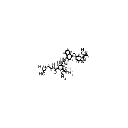 CN(CCO)CCNC(=O)c1nc(NC(=O)N[C@H]2CC[C@@H](Oc3ccc4nnc(C5(C)CC5)n4c3)c3ccccc32)cc(C(C)(C)C)n1